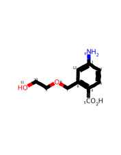 Nc1ccc(C(=O)O)c(COCCO)c1